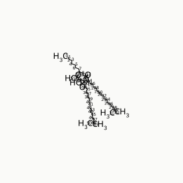 CCCCCCCCCCCC(=O)N(CCCCCCCCCCCCCCCC(C)C)[C@@](CCCCCCCCCCCCCCCC(C)C)(CCC(=O)O)C(=O)O